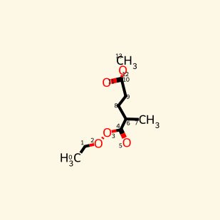 CCOOC(=O)C(C)CCC(=O)OC